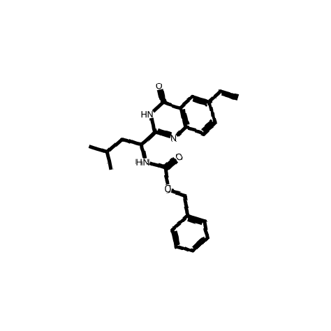 C=Cc1ccc2nc(C(CC(C)C)NC(=O)OCc3ccccc3)[nH]c(=O)c2c1